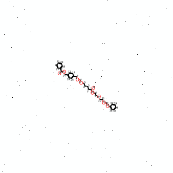 O=C(CCCCOCOCc1ccc(COC(=O)c2ccccc2)cc1)OCCOCCOCOc1ccccc1